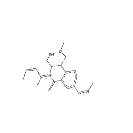 C=C1c2cc(/C=N\C)ccc2C(COC)C(CO)/[N+]1=C(C)\C=C/C